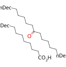 CCCCCCCCCCCCCCCC(=O)CCCCCCCCCCCCCCC.CCCCCCCCCCCCCCCCCC(=O)O